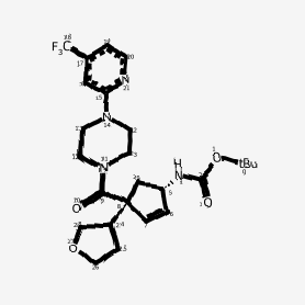 CC(C)(C)OC(=O)N[C@@H]1C=C[C@@](C(=O)N2CCN(c3cc(C(F)(F)F)ccn3)CC2)(C2CCOC2)C1